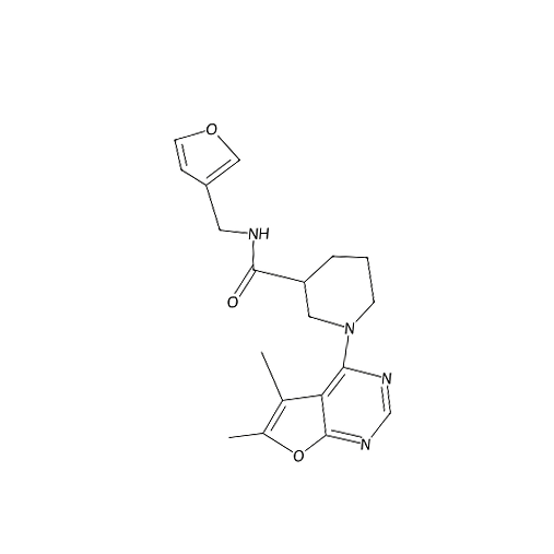 Cc1oc2ncnc(N3CCCC(C(=O)NCc4ccoc4)C3)c2c1C